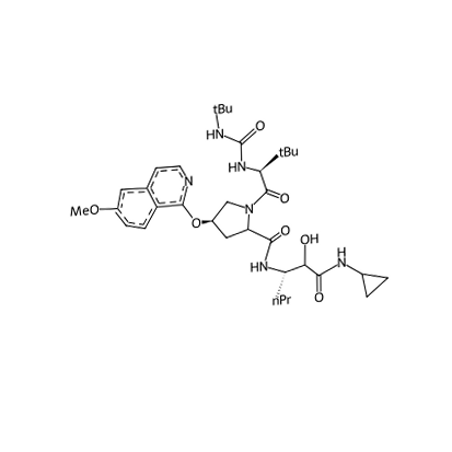 CCC[C@H](NC(=O)C1C[C@@H](Oc2nccc3cc(OC)ccc23)CN1C(=O)[C@@H](NC(=O)NC(C)(C)C)C(C)(C)C)C(O)C(=O)NC1CC1